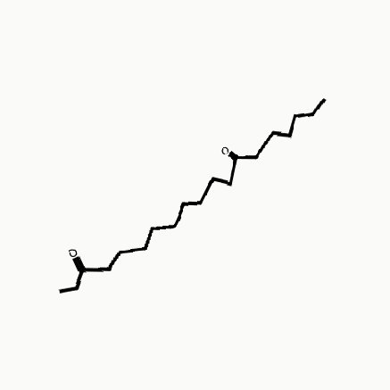 CCCCCCC(=O)CCCCCCCCCC(=O)CC